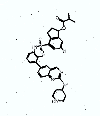 CC(C)C(=O)O[C@@H]1CCc2c1cc(Cl)cc2S(=O)(=O)Nc1cccc(-c2ccc3nc(NC4CCNCC4)ncc3c2)c1F